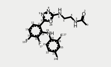 CC(=O)NCCNc1nnc(-c2ccc(F)c(F)c2Nc2ccc(I)cc2F)o1